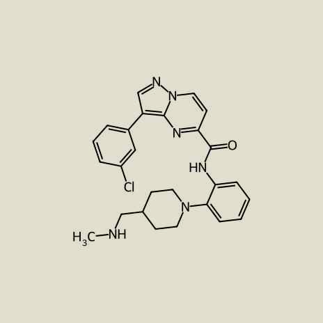 CNCC1CCN(c2ccccc2NC(=O)c2ccn3ncc(-c4cccc(Cl)c4)c3n2)CC1